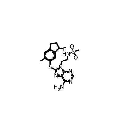 CS(=O)(=O)NCCn1c(Sc2cc3c(cc2I)CCC3F)nc2c(N)ncnc21